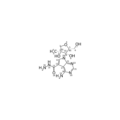 C[C@]1(O)CO[C@H](CO)[C@@]1(O)n1cc(C(=O)NN)c2c(N)ncnc21